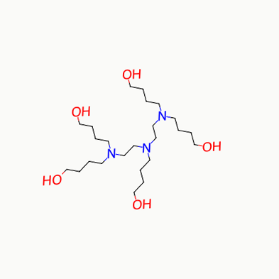 OCCCCN(CCCCO)CCN(CCCCO)CCN(CCCCO)CCCCO